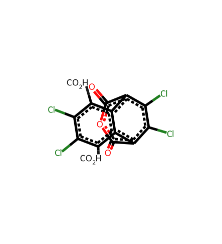 O=C(O)c1c(Cl)c(Cl)c(C(=O)O)c2c3c(Cl)c(Cl)c(c(=O)oc3=O)c12